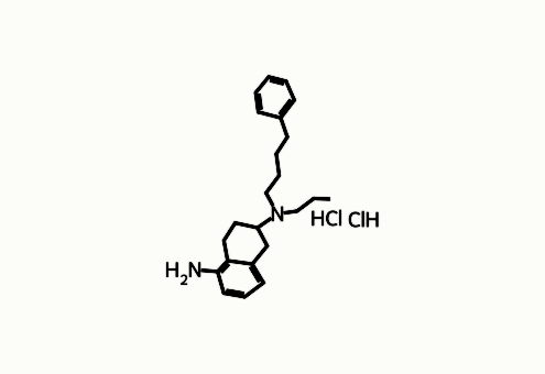 CCCN(CCCCc1ccccc1)C1CCc2c(N)cccc2C1.Cl.Cl